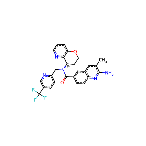 Cc1cc2cc(C(=O)N(Cc3ccc(C(F)(F)F)cn3)[C@@H]3CCOc4cccnc43)ccc2nc1N